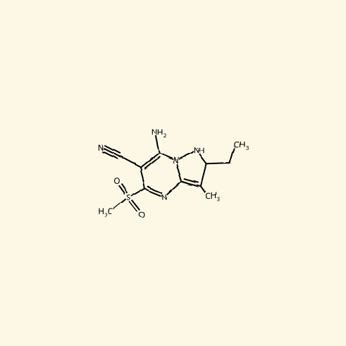 CCC1NN2C(N)=C(C#N)C(S(C)(=O)=O)=NC2=C1C